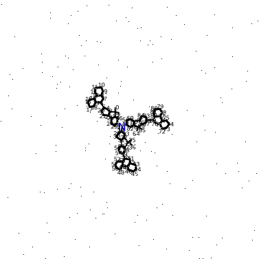 CC1(C)c2cc(-c3cc4ccccc4c4ccccc34)ccc2-c2ccc(N(c3ccc4c(c3)C(C)(C)c3cc(-c5cc6ccccc6c6ccccc56)ccc3-4)c3ccc4c(c3)C(C)(C)c3cc(-c5cc6ccccc6c6ccccc56)ccc3-4)cc21